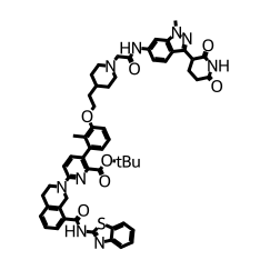 Cc1c(OCCC2CCN(CC(=O)Nc3ccc4c(C5CCC(=O)NC5=O)nn(C)c4c3)CC2)cccc1-c1ccc(N2CCc3cccc(C(=O)Nc4nc5ccccc5s4)c3C2)nc1C(=O)OC(C)(C)C